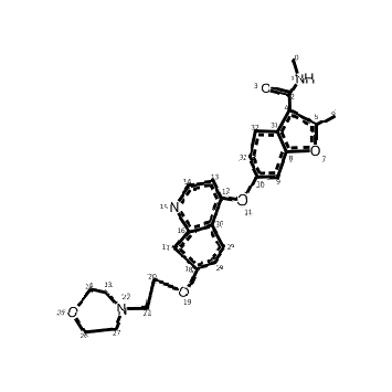 CNC(=O)c1c(C)oc2cc(Oc3ccnc4cc(OCCN5CCOCC5)ccc34)ccc12